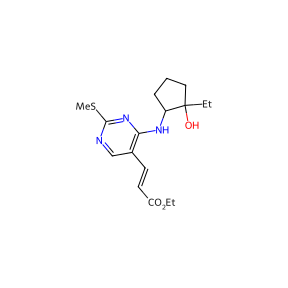 CCOC(=O)/C=C/c1cnc(SC)nc1NC1CCCC1(O)CC